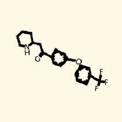 O=C(CC1CCCCN1)c1ccc(Oc2cccc(C(F)(F)F)c2)cc1